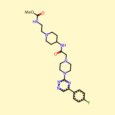 COC(=O)NCCN1CCC(NC(=O)CN2CCN(c3nncc(-c4ccc(F)cc4)n3)CC2)CC1